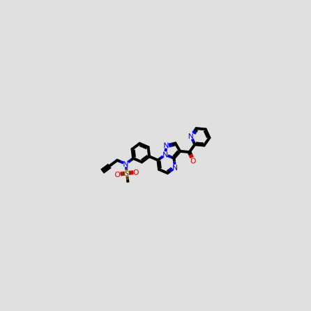 C#CCN(c1cccc(-c2ccnc3c(C(=O)c4ccccn4)cnn23)c1)S(C)(=O)=O